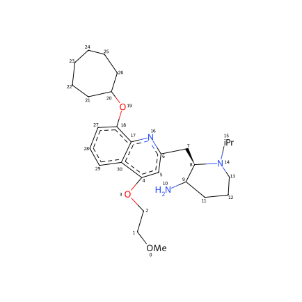 COCCOc1cc(C[C@@H]2C(N)CCCN2C(C)C)nc2c(OC3CCCCCC3)cccc12